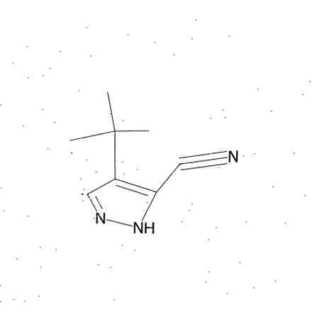 CC(C)(C)c1[c]n[nH]c1C#N